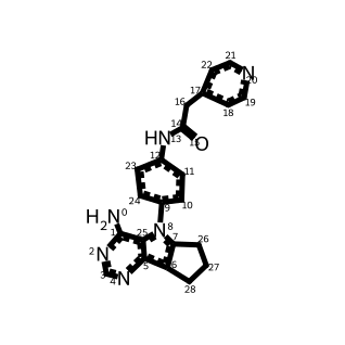 Nc1ncnc2c3c(n(-c4ccc(NC(=O)Cc5ccncc5)cc4)c12)CCC3